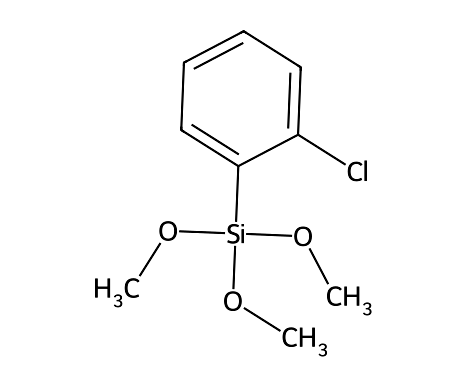 CO[Si](OC)(OC)c1ccccc1Cl